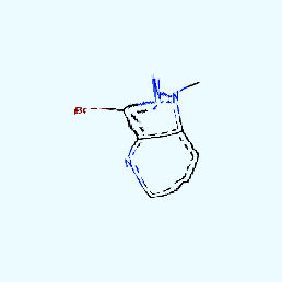 Cn1nc(Br)c2ncccc21